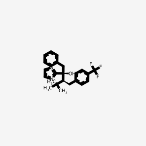 CC(C)(C)[C@H](Cc1ccc(C(F)(F)F)cc1)[C@@](O)(Cc1ccccc1)c1nccs1